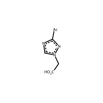 CC(=O)c1ncn(CC(=O)O)n1